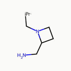 C[C](C)CN1CCC1CN